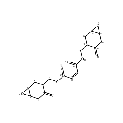 C=C1CC2OC2CC1COC(=O)/C=C\C(=O)OCC1CC2OC2CC1=C